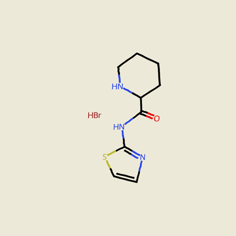 Br.O=C(Nc1nccs1)C1CCCCN1